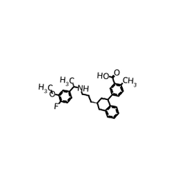 COc1cc([C@@H](C)NCCC[C@@H]2Cc3ccccc3C(c3ccc(C)c(C(=O)O)c3)C2)ccc1F